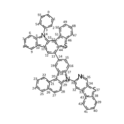 c1ccc(-n2c3ccccc3c3cc(-c4ccc5c(c4)c4c6ccccc6ccc4n5-c4cc5c(cn4)sc4ccccc45)c4sc5ccccc5c4c32)cc1